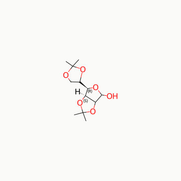 CC1(C)OCC([C@H]2OC(O)C3OC(C)(C)O[C@H]32)O1